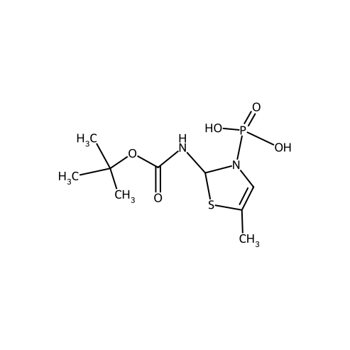 CC1=CN(P(=O)(O)O)C(NC(=O)OC(C)(C)C)S1